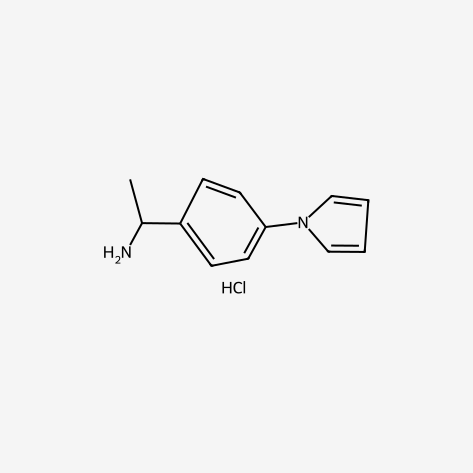 CC(N)c1ccc(-n2cccc2)cc1.Cl